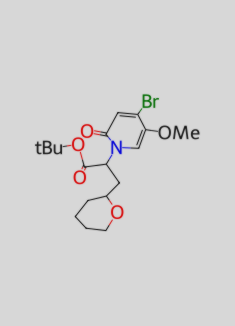 COc1cn(C(CC2CCCCO2)C(=O)OC(C)(C)C)c(=O)cc1Br